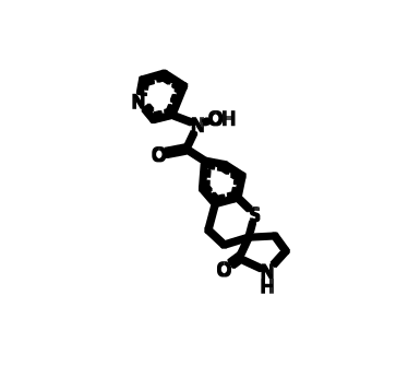 O=C(c1ccc2c(c1)CCC1(CCNC1=O)S2)N(O)c1cccnc1